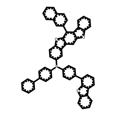 c1ccc(-c2ccc(N(c3ccc(-c4cccc5c4sc4ccccc45)cc3)c3ccc4oc5c(-c6ccc7ccccc7c6)c6c(cc5c4c3)oc3ccccc36)cc2)cc1